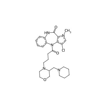 Cn1cc(Cl)c2c1C(=O)Nc1ccccc1N2C(=O)CCCN1CCOCC1CN1CCCCC1